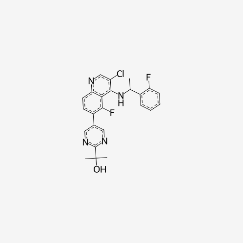 CC(Nc1c(Cl)cnc2ccc(-c3cnc(C(C)(C)O)nc3)c(F)c12)c1ccccc1F